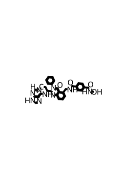 CCC(Nc1ncnc2[nH]cnc12)c1nc2cccc(CNC(=O)c3ccc(C(=O)NO)cc3)c2c(=O)n1-c1ccccc1